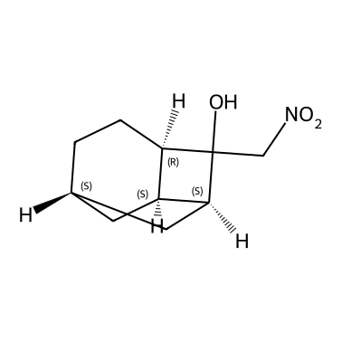 O=[N+]([O-])CC1(O)[C@@H]2CC[C@H]3C[C@@H]2[C@@H]1C3